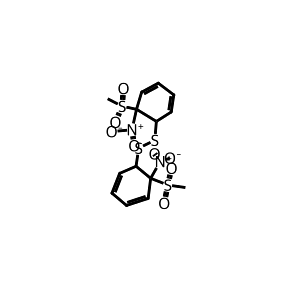 CS(=O)(=O)C1([N+](=O)[O-])C=CC=CC1SSC1C=CC=CC1([N+](=O)[O-])S(C)(=O)=O